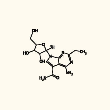 [2H]C1(n2cc(C(N)=O)c3c(N)nc(CC)nc32)OC(CO)C(O)C1O